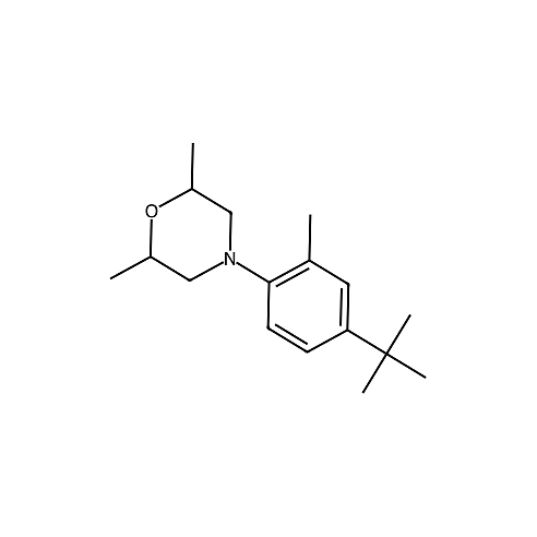 Cc1cc(C(C)(C)C)ccc1N1CC(C)OC(C)C1